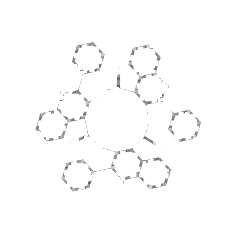 O=C1Oc2c(-c3ccccc3)nc3ccccc3c2C(=O)Oc2c(-c3ccccc3)nc3ccccc3c2C(=O)Oc2c(-c3ccccc3)nc3ccccc3c21